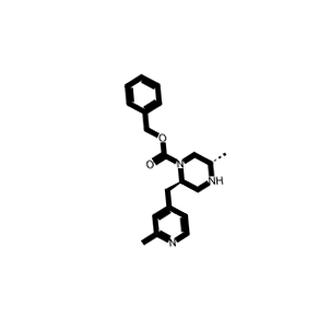 Cc1cc(C[C@@H]2CN[C@@H](C)CN2C(=O)OCc2ccccc2)ccn1